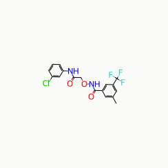 Cc1cc(C(=O)NOCC(=O)Nc2cccc(Cl)c2)cc(C(F)(F)F)c1